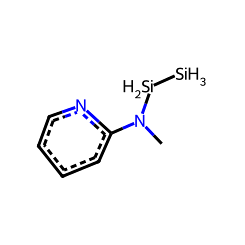 CN([SiH2][SiH3])c1ccccn1